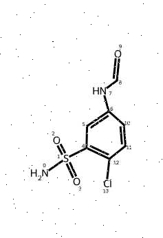 NS(=O)(=O)c1cc(NC=O)ccc1Cl